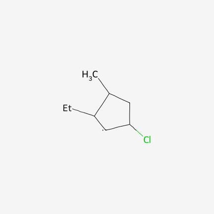 CCC1[CH]C(Cl)CC1C